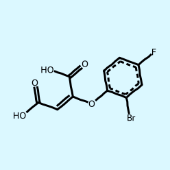 O=C(O)C=C(Oc1ccc(F)cc1Br)C(=O)O